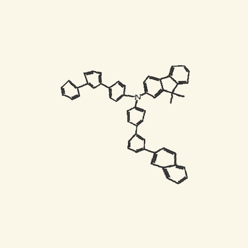 CC1(C)c2ccccc2-c2ccc(N(c3ccc(-c4cccc(-c5ccccc5)c4)cc3)c3ccc(-c4cccc(-c5ccc6ccccc6c5)c4)cc3)cc21